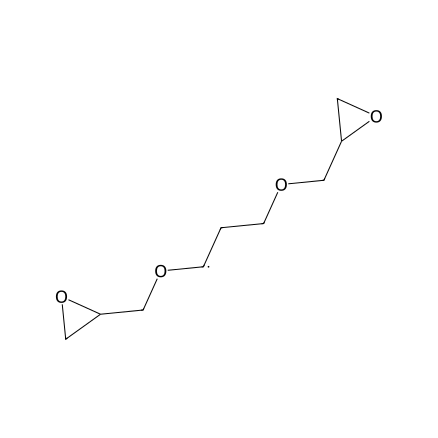 [CH](CCOCC1CO1)OCC1CO1